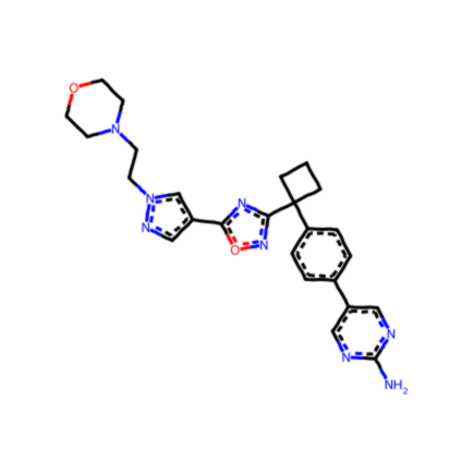 Nc1ncc(-c2ccc(C3(c4noc(-c5cnn(CCN6CCOCC6)c5)n4)CCC3)cc2)cn1